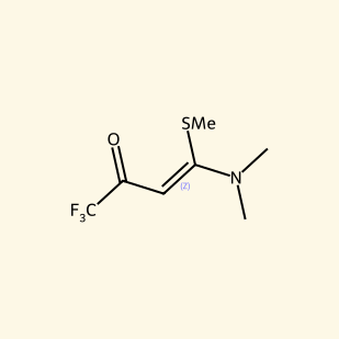 CS/C(=C\C(=O)C(F)(F)F)N(C)C